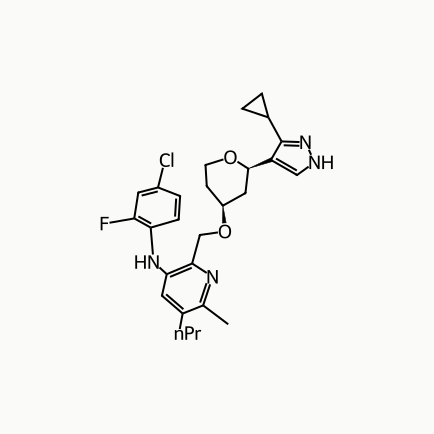 CCCc1cc(Nc2ccc(Cl)cc2F)c(CO[C@H]2CCO[C@@H](c3c[nH]nc3C3CC3)C2)nc1C